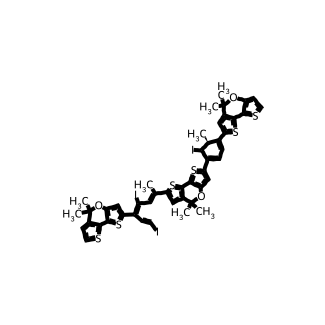 C\C(=C/C(I)=C(\C=C\I)c1cc2c(s1)-c1sccc1C(C)(C)O2)c1cc2c(s1)-c1sc(C3=CC=C(c4cc5c(s4)-c4sccc4OC5(C)C)[C@@H](C)C3I)cc1OC2(C)C